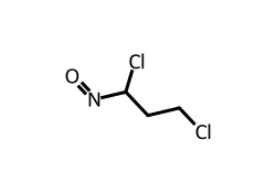 O=NC(Cl)CCCl